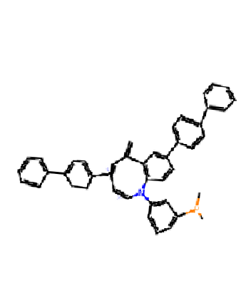 C=C1/C=C(C2=CC=C(c3ccccc3)CC2)\C=C/N(c2cccc(P(C)C)c2)c2ccc(-c3ccc(-c4ccccc4)cc3)cc21